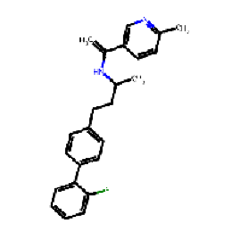 C=C(NC(C)CCc1ccc(-c2ccccc2F)cc1)c1ccc(C)nc1